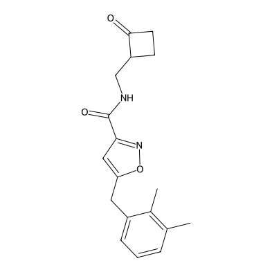 Cc1cccc(Cc2cc(C(=O)NCC3CCC3=O)no2)c1C